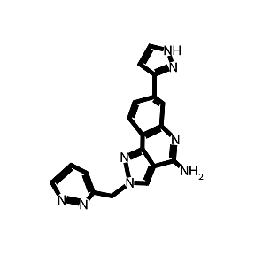 Nc1nc2cc(-c3cc[nH]n3)ccc2c2nn(Cc3cccnn3)cc12